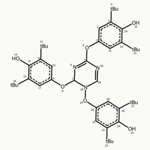 CC(C)(C)c1cc(OC2=NC(Oc3cc(C(C)(C)C)c(O)c(C(C)(C)C)c3)N(Oc3cc(C(C)(C)C)c(O)c(C(C)(C)C)c3)C=N2)cc(C(C)(C)C)c1O